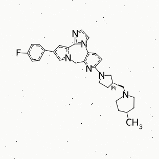 CC1CCN(C[C@H]2CCN(c3ccc4c(n3)Cn3cc(-c5ccc(F)cc5)cc3-c3nccn3-4)C2)CC1